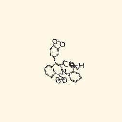 O=C(O)C1=C(c2ccc3c(c2)OCO3)c2ccccc2S(=O)(=O)N1c1ccccc1Br